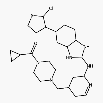 O=C(C1CC1)N1CCN(CC2CC=NC(NC3NC4CCC(C5CCSC5Cl)CC4N3)C2)CC1